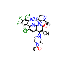 C=CC(=O)N1CCN(c2c(C#N)c(=O)n(C3C(C(C)C)=NC=CC3C)c3nc(-c4c(N)c(Cl)c(F)c(F)c4Cl)c(Cl)cc23)C[C@H]1C